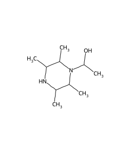 CC1NC(C)C(C)N(C(C)O)C1C